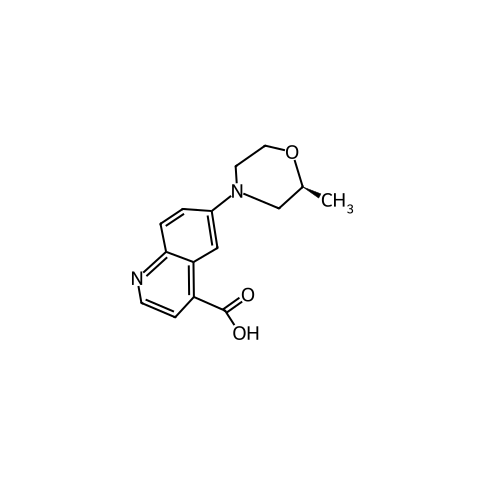 C[C@H]1CN(c2ccc3nccc(C(=O)O)c3c2)CCO1